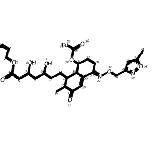 C=CCOC(=O)CC(O)CC(O)CCC1C(C)C(=O)C=C2C(=NOCc3cc(C)on3)CCC(OC(=O)C(C)CC)C21